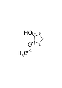 CCO[C@@H]1CCC[C@@H]1O